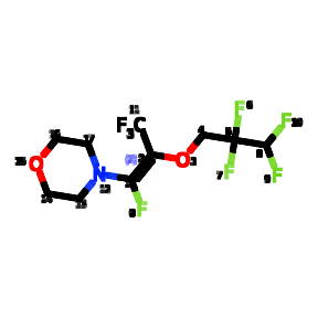 F/C(=C(\OCC(F)(F)C(F)F)C(F)(F)F)N1CCOCC1